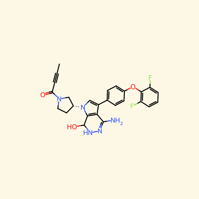 CC#CC(=O)N1CC[C@@H](n2cc(-c3ccc(Oc4c(F)cccc4F)cc3)c3c2C(O)NN=C3N)C1